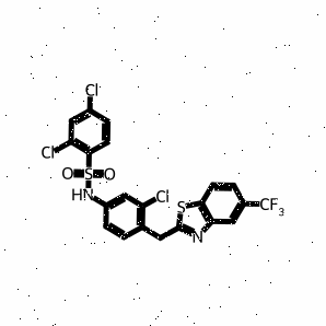 O=S(=O)(Nc1ccc(Cc2nc3cc(C(F)(F)F)ccc3s2)c(Cl)c1)c1ccc(Cl)cc1Cl